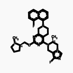 C[C@@H]1Cn2cnc(F)c2CN1c1nc(OC[C@H]2CCCN2C)nc2c1CCN(c1cccc3cccc(F)c13)C2